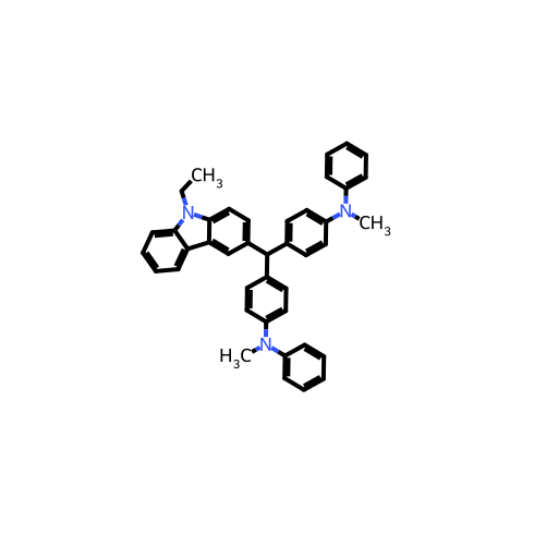 CCn1c2ccccc2c2cc(C(c3ccc(N(C)c4ccccc4)cc3)c3ccc(N(C)c4ccccc4)cc3)ccc21